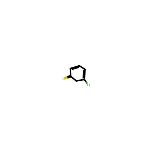 S=C1C=CC=C(Cl)C1